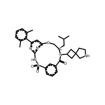 Cc1cccc(C)c1-c1cc2nc(n1)NS(=O)(=O)c1cccc(c1)C(=O)N(C1CC3(CCNC3)C1)[C@H](CC(C)C)CO2